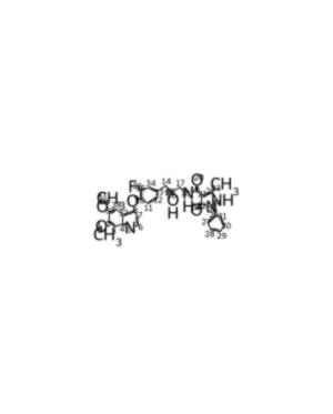 COc1cc2nccc(Oc3ccc(C[C@@H](O)CNC(=O)c4c(C)[nH]n(-c5ccccc5)c4=O)cc3F)c2cc1OC